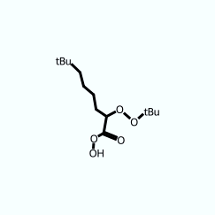 CC(C)(C)CCCCC(OOC(C)(C)C)C(=O)OO